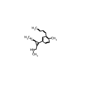 C=C=C1C(CNC)=C1c1ccc(C)c(/C=C\C=C)c1